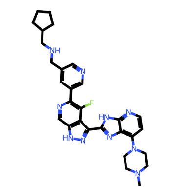 CN1CCN(c2ccnc3[nH]c(-c4n[nH]c5cnc(-c6cncc(CNCC7CCCC7)c6)c(F)c45)nc23)CC1